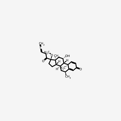 C=C=CCC(=O)[C@@]1(OC)CC[C@H]2[C@@H]3C[C@H](C)C4=CC(=O)C=C[C@]4(C)[C@H]3[C@@H](O)C[C@@]21C